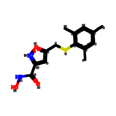 Cc1cc(C)c(SCc2cc(C(=O)NO)no2)c(C)c1